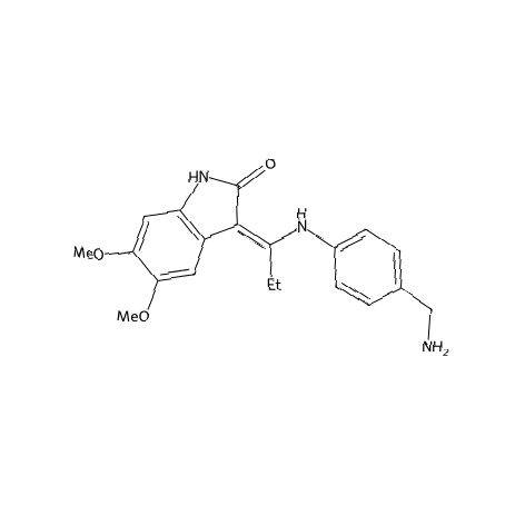 CC/C(Nc1ccc(CN)cc1)=C1/C(=O)Nc2cc(OC)c(OC)cc21